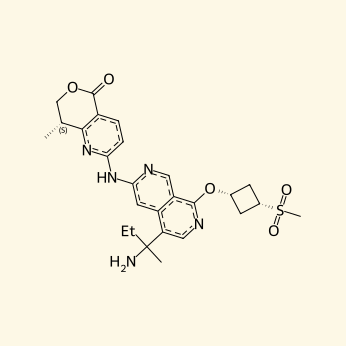 CCC(C)(N)c1cnc(O[C@H]2C[C@@H](S(C)(=O)=O)C2)c2cnc(Nc3ccc4c(n3)[C@H](C)COC4=O)cc12